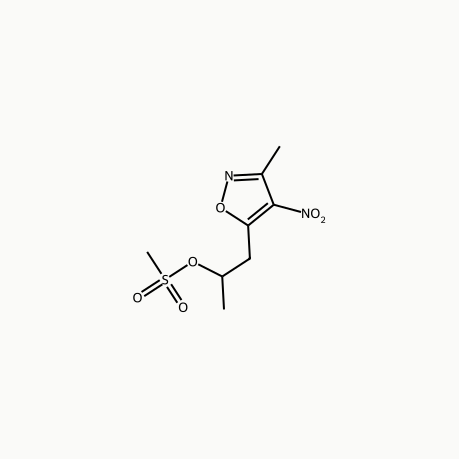 Cc1noc(CC(C)OS(C)(=O)=O)c1[N+](=O)[O-]